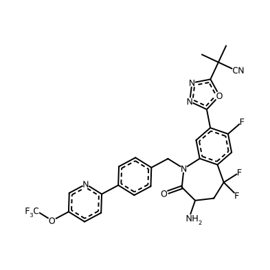 CC(C)(C#N)c1nnc(-c2cc3c(cc2F)C(F)(F)CC(N)C(=O)N3Cc2ccc(-c3ccc(OC(F)(F)F)cn3)cc2)o1